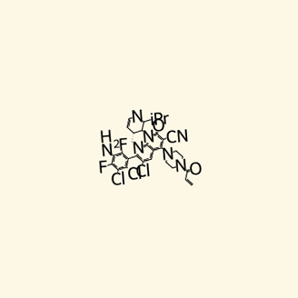 C=CC(=O)N1CCN(c2c(C#N)c(=O)n(C3C(C(C)C)=NC=C[C@H]3C)c3nc(-c4c(F)c(N)c(F)c(Cl)c4Cl)c(Cl)cc23)CC1